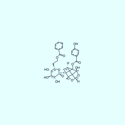 C[C@@]12O[C@H]3O[C@@]4(O)[C@@H]5C[C@@]1(O[C@@H]1O[C@H](CCOC(=O)c6ccccc6)[C@@H](O)[C@H](O)[C@H]1O)C5(COC(=O)c1ccc(O)cc1)C342